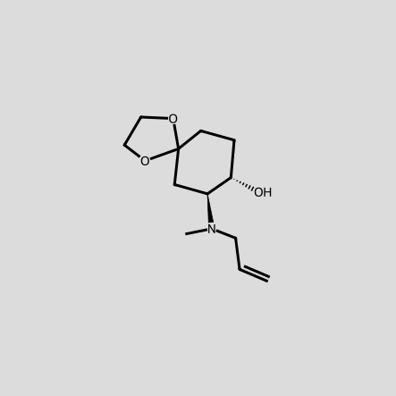 C=CCN(C)[C@H]1CC2(CC[C@@H]1O)OCCO2